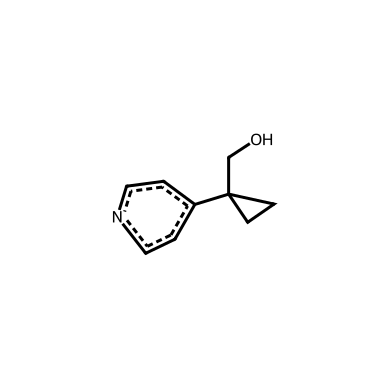 OCC1(c2ccncc2)CC1